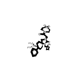 CN(C)[C@]1(c2ccccc2)CC[C@@]2(CC1)CN(CC(=O)N1CCS(=O)(=O)CC1)C(=O)N2CC1(O)CCC1